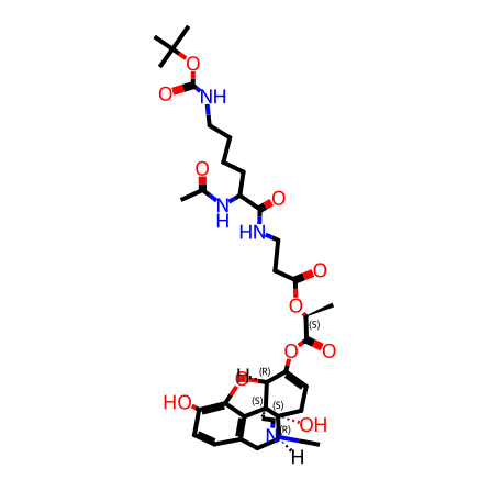 CC(=O)NC(CCCCNC(=O)OC(C)(C)C)C(=O)NCCC(=O)O[C@@H](C)C(=O)OC1=CC[C@@]2(O)[C@H]3Cc4ccc(O)c5c4[C@@]2(CCN3C)[C@H]1O5